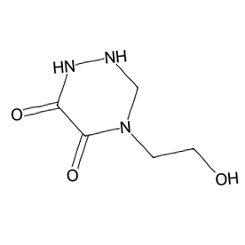 O=C1NNCN(CCO)C1=O